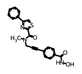 CN(CC#Cc1ccc(C(=O)NO)cc1)C(=O)c1nc(-c2ccccc2)cs1